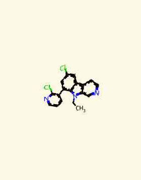 CCn1c2cnccc2c2cc(Cl)cc(-c3cccnc3Cl)c21